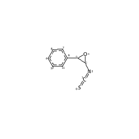 S=C=NC1OC1c1ccccc1